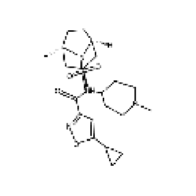 CN1CCC(CS(=O)(=O)N2[C@@H]3CC[C@H]2C[C@@H](NC(=O)c2cc(C4CC4)on2)C3)CC1